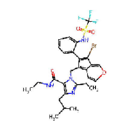 CCNC(=O)c1c(CC(C)C)nc(CC)n1Cc1c2ccocc-2c(Br)c1-c1ccccc1NS(=O)(=O)C(F)(F)F